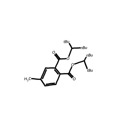 CCCCC(OC(=O)c1ccc(C)cc1C(=O)OC(CCCC)C(C)(C)C)C(C)(C)C